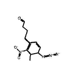 CC1C([N+](=O)[O-])=C(CCCC=O)C=CC1N=[N+]=[N-]